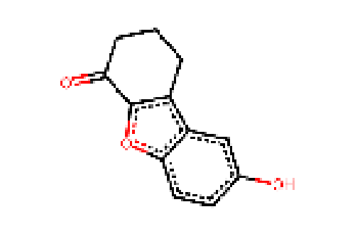 O=C1CCCc2c1oc1ccc(O)cc21